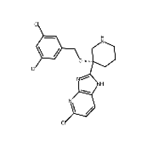 Clc1cc(Cl)cc(CO[C@@]2(c3nc4nc(Cl)ccc4[nH]3)CCCNC2)c1